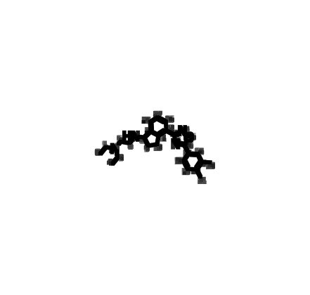 CCN(CC)CCNC1CCc2c(-c3noc(-c4ccc(C)c(C)c4)n3)cccc21